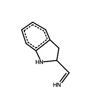 N=CC1Cc2ccccc2N1